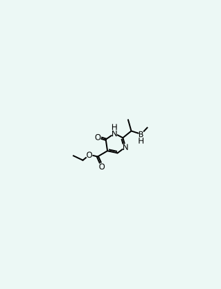 CBC(C)c1ncc(C(=O)OCC)c(=O)[nH]1